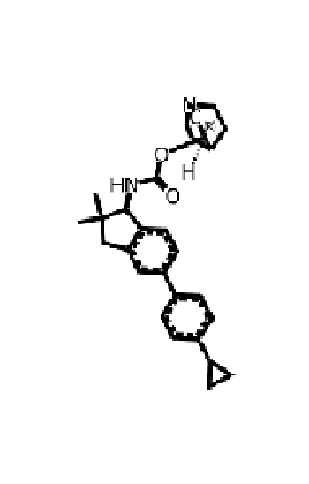 CC1(C)Cc2cc(-c3ccc(C4CC4)cc3)ccc2C1NC(=O)O[C@H]1CN2CCC1CC2